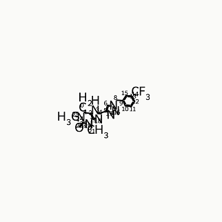 C=C1c2[nH]c(-c3cn(Cc4cccc(C(F)(F)F)c4)nn3)nc2N(C)C(=O)N1C